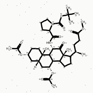 COC(=O)CC[C@@H](C)C1CCC2C3C([C@H](NC(=O)C4CCCN4C(=O)OC(C)(C)C)C(=O)[C@@]21C)[C@@]1(C)CC[C@@H](OC(C)=O)C[C@H]1C[C@H]3OC(C)=O